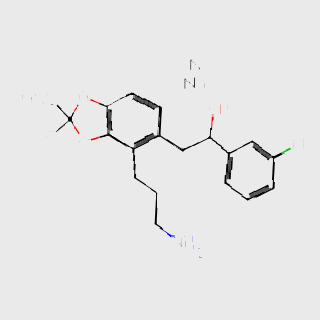 NCCCc1c(CC(O)c2cccc(Cl)c2)ccc2c1OC(C(=O)[O-])(C(=O)[O-])O2.[Na+].[Na+]